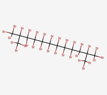 BrC(Br)(Br)C(Br)(C(Br)(Br)Br)C(Br)(Br)C(Br)(Br)C(Br)(Br)C(Br)(Br)C(Br)(Br)C(Br)(Br)C(Br)(Br)C(Br)(Br)C(Br)(C(Br)(Br)Br)C(Br)(Br)Br